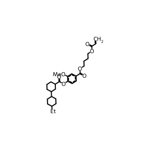 C=CC(=O)OCCCCOC(=O)c1ccc(OC(=O)C2CCCC(C3CCC(CC)CC3)C2)c(OC)c1